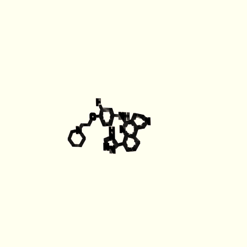 Fc1cc(Nc2nc3c(-c4nnc[nH]4)cccc3c3cnccc23)ccc1OCCN1CCCCC1